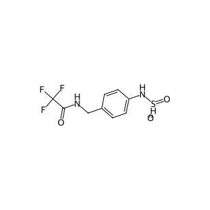 O=C(NCc1ccc(N[SH](=O)=O)cc1)C(F)(F)F